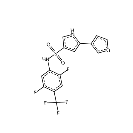 O=S(=O)(Nc1cc(F)c(C(F)(F)F)cc1F)c1c[nH]c(-c2ccoc2)c1